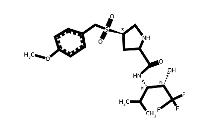 COc1ccc(CS(=O)(=O)[C@H]2CNC(C(=O)N[C@@H](C(C)C)[C@H](O)C(F)(F)F)C2)cc1